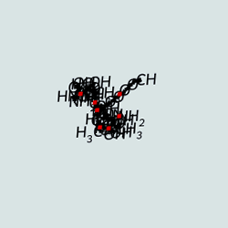 C#CCOCCOCCOCCOCCNS(=O)(=O)N(CCOCCN(C)C(=O)O[C@@H]([C@@H]1OC(C(=O)O)=C[C@H](NC(=N)N)[C@H]1N=C)[C@H](O)CO)CCOCCN(C)C(=O)O[C@@H]([C@@H]1OC(C(=O)O)=C[C@H](NC(=N)N)[C@H]1NC(C)=O)[C@H](O)CO